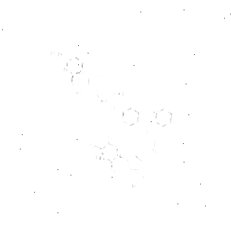 CN(C)CCC(c1ccc(Cl)cc1)c1ccccn1.Cc1cn([C@H]2C=C[C@@H](CO)O2)c(=O)[nH]c1=O.Nc1ccn([C@@H]2O[C@H](CO)[C@@H](O)[C@@H]2O)c(=O)n1